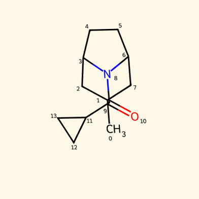 CC1CC2CCC(C1)N2C(=O)C1CC1